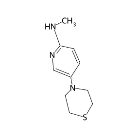 CNc1ccc(N2CCSCC2)cn1